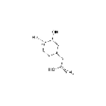 C=C(O)CC1CC[C@H](C)C(O)C1